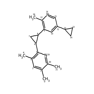 Cc1cc(C)c(C2CC2c2cc(C3CC3)cnc2C)nc1C